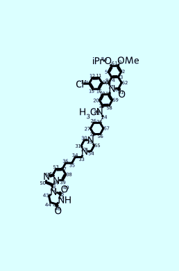 COc1cc2c(cc1OC(C)C)[C@H](c1ccc(Cl)cc1)N(c1ccc(N(C)C[C@H]3CC[C@H](N4CCN(CCCCc5ccn6c(N7CCC(=O)NC7=O)cnc6c5)CC4)CC3)cc1)C(=O)C2